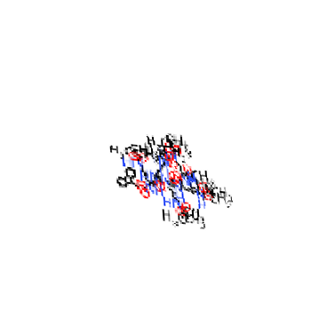 CN(C)C(=O)[C@H](CCCCNC(=O)OC(C)(C)C)NC(=O)[C@H](CCCCNC(=O)OC(C)(C)C)NC(=O)[C@H](CCCCNC(=O)OC(C)(C)C)NC(=O)[C@H](CCCCNC(=O)OC(C)(C)C)NC(=O)[C@H](CCCCNC(=O)OC(C)(C)C)NC(=O)OCC1c2ccccc2-c2ccccc21